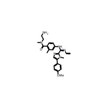 C=C/N=C(/Nc1ccc(C(=O)N(C)CCN)c(C)c1)c1ncc(-c2ccc(OC)cc2)n1C